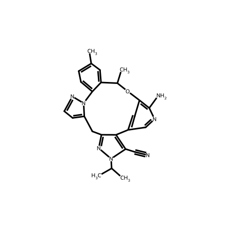 Cc1ccc2c(c1)C(C)Oc1cc(cnc1N)-c1c(nn(C(C)C)c1C#N)Cc1ccnn1-2